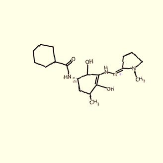 CC1C[C@H](NC(=O)C2CCCCC2)C(O)C(N/N=C2\CCCN2C)=C1O